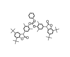 Cc1cc(C2C(=O)Oc3c2cc(C(C)(C)C)cc3C(C)(C)C)cc(C)c1OP(Oc1ccccc1)Oc1c(C)cc(C2C(=O)Oc3c2cc(C(C)(C)C)cc3C(C)(C)C)cc1C